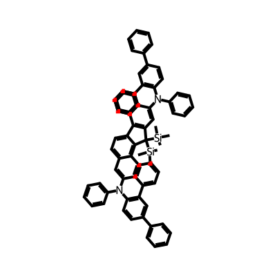 C[Si](C)(C)C1([Si](C)(C)C)c2cc(N(c3ccccc3)c3ccc(-c4ccccc4)cc3-c3ccccc3)c3ccccc3c2-c2ccc3cc(N(c4ccccc4)c4ccc(-c5ccccc5)cc4-c4ccccc4)ccc3c21